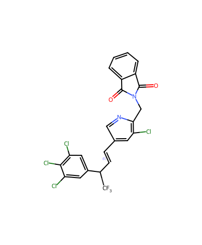 O=C1c2ccccc2C(=O)N1Cc1ncc(/C=C/C(c2cc(Cl)c(Cl)c(Cl)c2)C(F)(F)F)cc1Cl